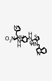 O=C(Nc1ccc(NC(=C[N+](=O)[O-])NCc2cccnc2)cc1)c1sccc1NCc1ccnc2ccccc12